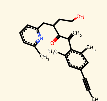 C=C(C(=O)C(CCO)Cc1cccc(C)n1)c1c(C)cc(C#CC)cc1C